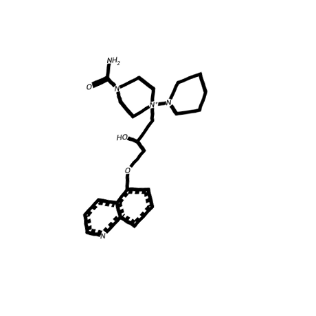 NC(=O)N1CC[N+](CC(O)COc2cccc3ncccc23)(N2CCCCC2)CC1